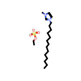 CCCCCCCCCCCCCC[n+]1ccn(C)c1.CCOS(=O)(=O)[O-]